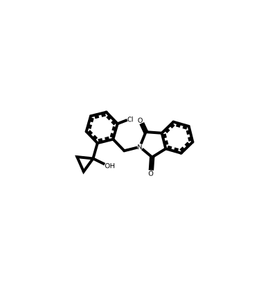 O=C1c2ccccc2C(=O)N1Cc1c(Cl)cccc1C1(O)CC1